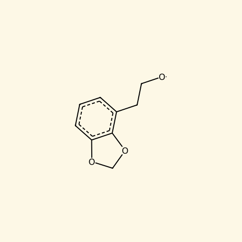 [O]CCc1cccc2c1OCO2